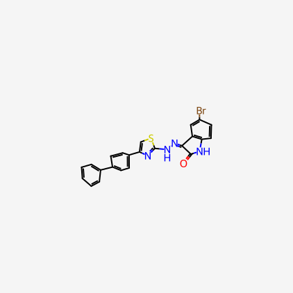 O=C1Nc2ccc(Br)cc2/C1=N/Nc1nc(-c2ccc(-c3ccccc3)cc2)cs1